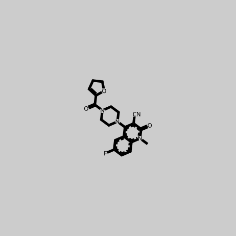 Cn1c(=O)c(C#N)c(N2CCN(C(=O)C3=CCCO3)CC2)c2cc(F)ccc21